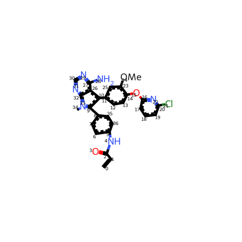 C=CC(=O)Nc1ccc(-c2c(-c3ccc(Oc4cccc(Cl)n4)c(OC)c3)c3c(N)ncnc3n2C)cc1